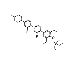 CCc1cc(-c2ccc(-c3ccc(C4CCC(C)CC4)cc3F)cc2F)cc(CC)c1OCC(CC)(CC)CC